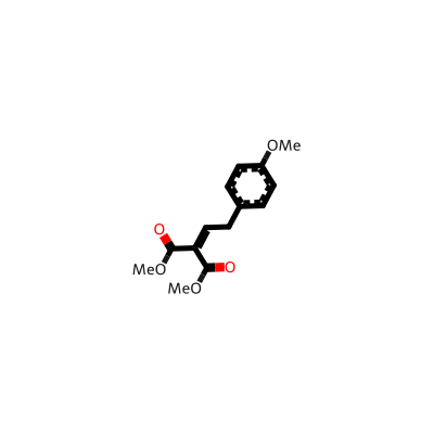 COC(=O)C(=CCc1ccc(OC)cc1)C(=O)OC